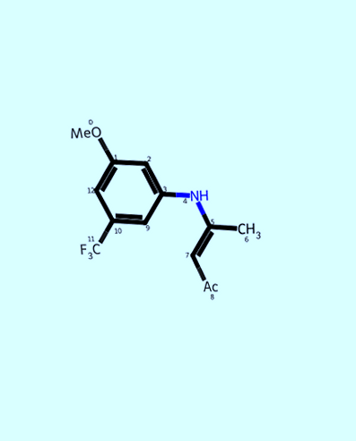 COc1cc(NC(C)=CC(C)=O)cc(C(F)(F)F)c1